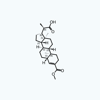 COC(=O)C1=C[C@@H]2CC[C@@H]3[C@H](CC[C@]4(C)[C@@H]([C@@H](C)C(=O)O)CC[C@@H]34)[C@@]2(C)CC1